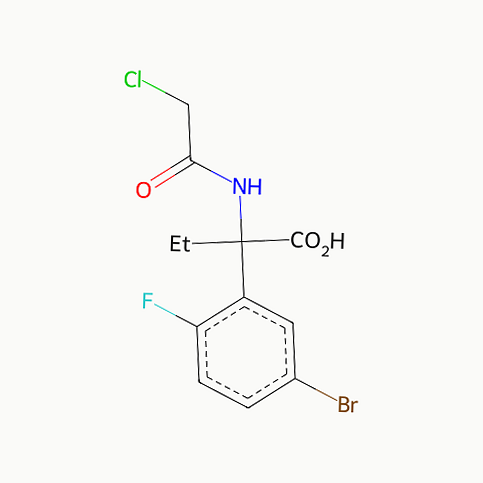 CCC(NC(=O)CCl)(C(=O)O)c1cc(Br)ccc1F